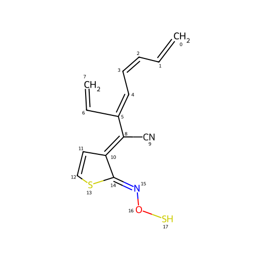 C=C\C=C/C=C(C=C)/C(C#N)=C1\C=CS\C1=N/OS